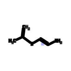 B/C=C/SC(=C)C